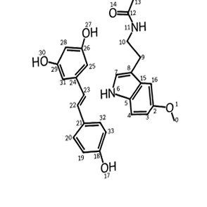 COc1ccc2[nH]cc(CCNC(C)=O)c2c1.Oc1ccc(/C=C/c2cc(O)cc(O)c2)cc1